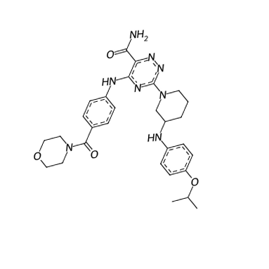 CC(C)Oc1ccc(NC2CCCN(c3nnc(C(N)=O)c(Nc4ccc(C(=O)N5CCOCC5)cc4)n3)C2)cc1